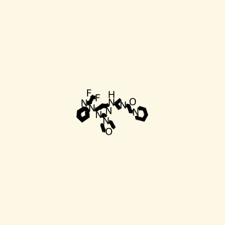 O=C(CN1CCCCC1)N1CC(Nc2cc(-n3c(C(F)F)nc4ccccc43)nc(N3CCOCC3)n2)C1